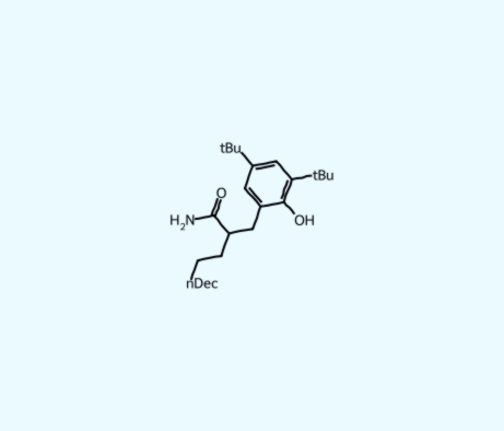 CCCCCCCCCCCCC(Cc1cc(C(C)(C)C)cc(C(C)(C)C)c1O)C(N)=O